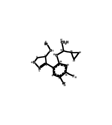 CCOC1CON=C1c1cc(Br)c(F)cc1OC(C(=O)O)C1CC1